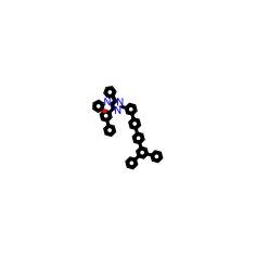 c1ccc(-c2cc(-c3ccccc3)cc(-c3ccc(-c4ccc(-c5cccc(-c6nc(-c7cccc(-c8ccccc8)c7)c7c(n6)c6ccccc6n7-c6ccccc6)c5)cc4)cc3)c2)cc1